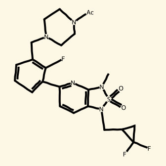 CC(=O)N1CCN(Cc2cccc(-c3ccc4c(n3)N(C)S(=O)(=O)N4CC3CC3(F)F)c2F)CC1